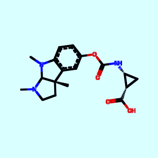 CN1CC[C@@]2(C)c3cc(OC(=O)N[C@@H]4C[C@@H]4C(=O)O)ccc3N(C)C12